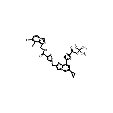 CC(C)(C)OC(=O)c1ncc(-c2cc(C3CC3)cn3cc(Cn4cc(C(=O)NCc5ncn6ccc(Cl)c(F)c56)nn4)nc23)s1